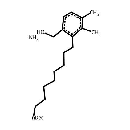 CCCCCCCCCCCCCCCCCCc1c(CO)ccc(C)c1C.N